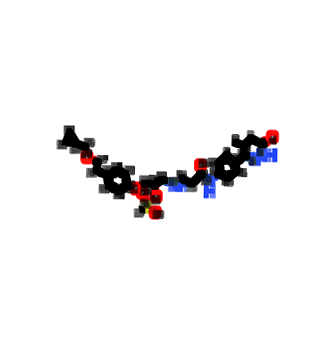 CC1CC(=O)NN=C1c1ccc(NC(=O)CCNCC(COc2ccc(CCOCC3CC3)cc2)OS(C)(=O)=O)cc1